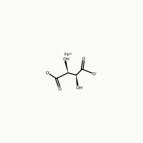 O=C([O-])[C@@H](O)[C@H](O)C(=O)[O-].[Fe+2]